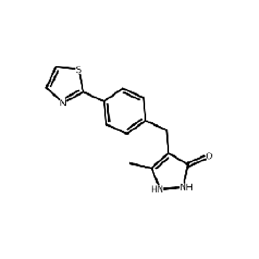 Cc1[nH][nH]c(=O)c1Cc1ccc(-c2nccs2)cc1